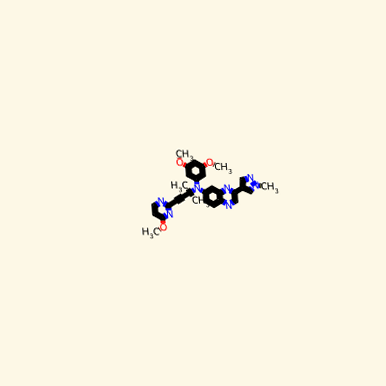 COc1cc(OC)cc(N(c2ccc3ncc(-c4cnn(C)c4)nc3c2)C(C)(C)C#Cc2nccc(OC)n2)c1